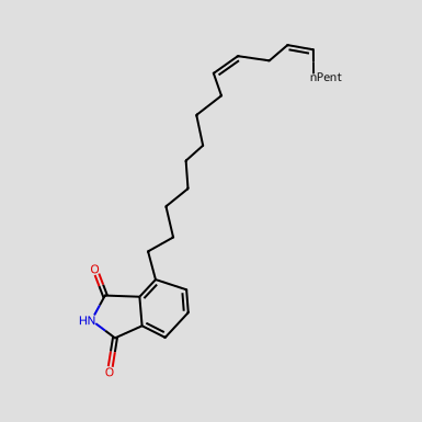 CCCCC/C=C\C/C=C\CCCCCCCCc1cccc2c1C(=O)NC2=O